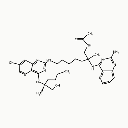 CCCC[C@](C)(CO)Nc1nc(NCCCCCC(C)(CNC(C)=O)Nc2nc(N)nc3cccnc23)nc2cc(Cl)cnc12